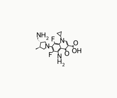 C[C@@H]1CN(c2c(F)c(N)c3c(=O)c(C(=O)O)cn(C4CC4)c3c2F)C[C@H]1CN